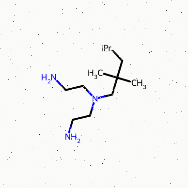 CC(C)CC(C)(C)CN(CCN)CCN